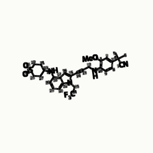 COc1cc(C(C)(C)C#N)ccc1NCC#Cc1cc2c(NC3CCS(=O)(=O)CC3)cccc2n1CC(F)(F)F